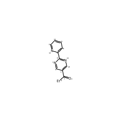 CCC(=O)c1cnc(-c2ccccn2)nc1